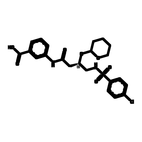 O=C(C[C@@H](CNS(=O)(=O)c1ccc(Cl)cc1)OC1CCCCO1)Nc1cccc(C(=O)O)c1